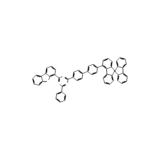 c1ccc(-c2nc(-c3ccc(-c4ccc(-c5cccc6c5-c5ccccc5C65c6ccccc6-c6ccccc65)cc4)cc3)nc(-c3cccc4c3sc3ccccc34)n2)cc1